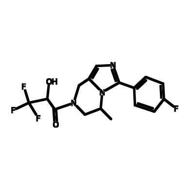 CC1CN(C(=O)C(O)C(F)(F)F)Cc2cnc(-c3ccc(F)cc3)n21